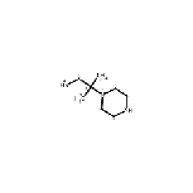 CC(C)(SS)N1CCNCC1